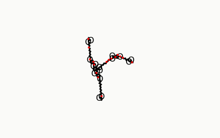 C=CC(=O)OCCCCCCCCCCCOc1ccc(C(=O)Oc2ccc(OC(=O)c3ccc(OCCCCCCCCCCCOC(=O)C=C)cc3)c(C(=O)OCCCCCCCCCCOC(=O)c3ccc(OCCCCCCOC(=O)C=C)cc3)c2)cc1